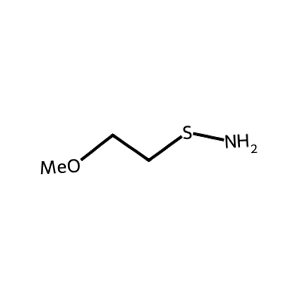 COCCSN